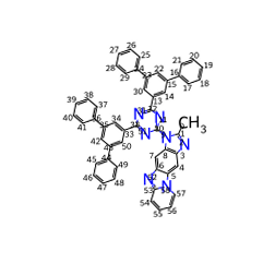 Cc1nc2cc3c(cc2n1-c1nc(-c2cc(-c4ccccc4)cc(-c4ccccc4)c2)nc(-c2cc(-c4ccccc4)cc(-c4ccccc4)c2)n1)nc1ccccn13